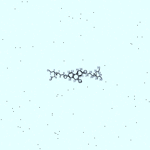 CCCN(CCC)CCCOc1ccc2c(c1)CC(=O)c1cc(OCCCN(CCC)CCC)ccc1-2